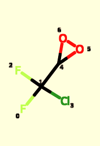 FC(F)(Cl)C1OO1